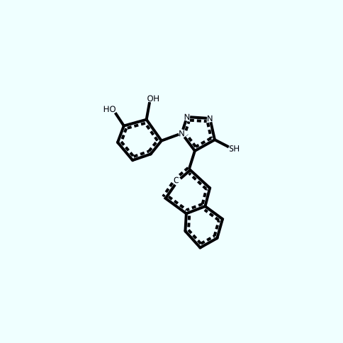 Oc1cccc(-n2nnc(S)c2-c2ccc3ccccc3c2)c1O